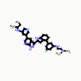 C=C(CC(C)C)Nc1cncc(-c2cnc3[nH]nc(-c4cc5c(-c6cc(F)cc(NCCN(C)C)c6)cccc5[nH]4)c3c2)c1